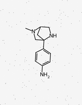 CN1CC2(c3ccc(N)cc3)CC1CN2